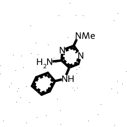 CNc1ncc(Nc2ccccc2)c(N)n1